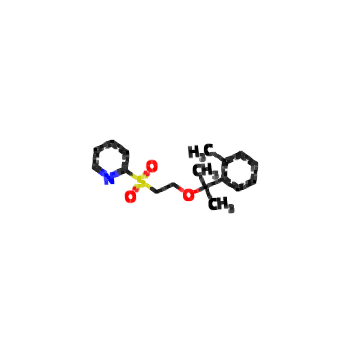 Cc1ccccc1C(C)(C)OCCS(=O)(=O)c1ccccn1